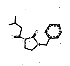 CC(C)CC(=O)[C@@H]1CCN(Cc2ccccc2)C1=O